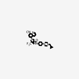 N#Cc1ccc(N2C[C@]3(C(=O)N[C@H]4CC[C@@H](N5CCN(CC6CC6)CC5)CC4)C[C@]3(C(F)(F)F)C2)c2cccnc12